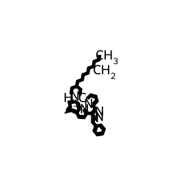 C=C(CCC)CCCCCC1CCN(C2=C/C=C/C=c3\ccc(-c4c(-c5cccc(C)n5)nnn4Cc4ccccc4)n\c3=C\2)CC1